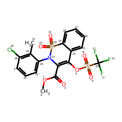 COC(=O)C1=C(OS(=O)(=O)C(F)(F)F)c2ccccc2S(=O)(=O)N1c1cccc(Cl)c1C